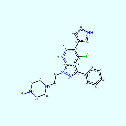 CN1CCN(CCn2nc(-c3ccccc3)c3c(Cl)c(-c4cc[nH]c4)nnc32)CC1